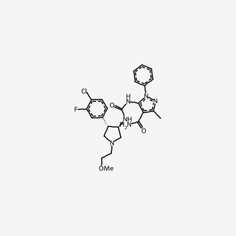 COCCN1C[C@H](NC(=O)Nc2c(C(N)=O)c(C)nn2-c2ccccc2)[C@@H](c2ccc(Cl)c(F)c2)C1